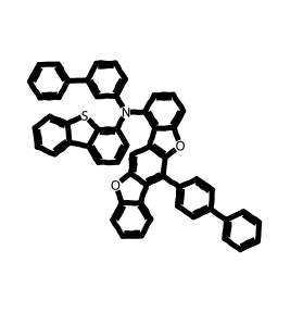 c1ccc(-c2ccc(-c3c4oc5cccc(N(c6cccc(-c7ccccc7)c6)c6cccc7c6sc6ccccc67)c5c4cc4oc5ccccc5c34)cc2)cc1